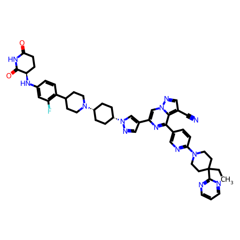 CCC1(c2ncccn2)CCN(c2ccc(-c3nc(-c4cnn([C@H]5CC[C@@H](N6CCC(c7ccc(N[C@@H]8CCC(=O)NC8=O)cc7F)CC6)CC5)c4)cn4ncc(C#N)c34)cn2)CC1